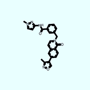 Cc1nocc1-c1ccc2c(=O)n(Cc3cccc(C(=O)Nc4ccn(C)n4)c3)ccc2c1